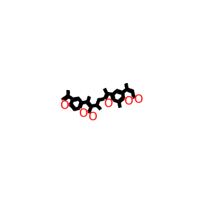 Cc1coc2cc3oc(=O)c(C(C)Cc4oc5c(C)c6oc(=O)cc(C)c6cc5c4C)c(C)c3cc12